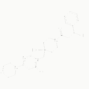 CC(CC(=O)N1CCC(O)(Cn2cnc(N3CCOCC3)cc2=O)CC1)c1ccccc1